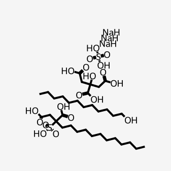 CCCCCCCCCCCCC(CC(=O)O)(C(=O)O)S(=O)(=O)O.CCCCCCCCCCCCO.O=C(O)CC(O)(CC(=O)O)C(=O)O.O=S(=O)(O)O.[NaH].[NaH].[NaH]